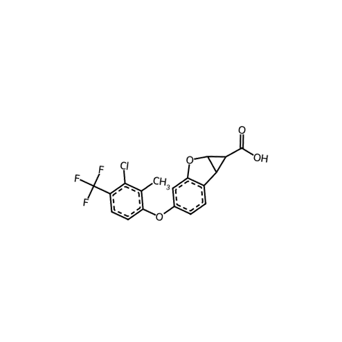 Cc1c(Oc2ccc3c(c2)OC2C(C(=O)O)C32)ccc(C(F)(F)F)c1Cl